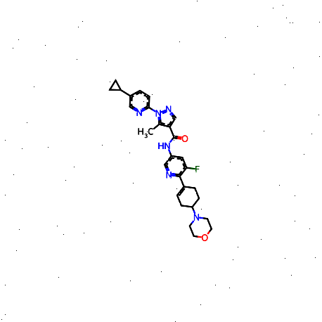 Cc1c(C(=O)Nc2cnc(C3=CCC(N4CCOCC4)CC3)c(F)c2)cnn1-c1ccc(C2CC2)cn1